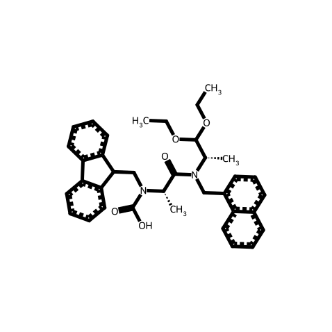 CCOC(OCC)[C@H](C)N(Cc1cccc2ccccc12)C(=O)[C@H](C)N(CC1c2ccccc2-c2ccccc21)C(=O)O